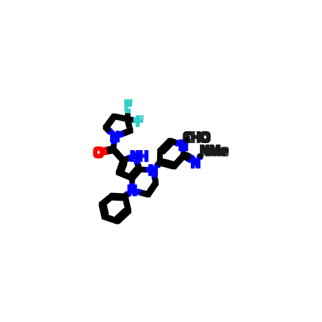 CN/N=c1/cc(N2CCN(c3ccccc3)c3cc(C(=O)N4CCC(F)(F)C4)[nH]c32)ccn1C=O